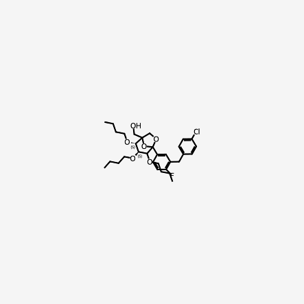 CCCCOC1[C@@H](OCCCC)[C@H](OCCCC)C2(CO)COC1(c1ccc(F)c(Cc3ccc(Cl)cc3)c1)O2